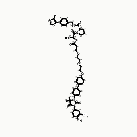 Cc1ncsc1-c1ccc(CNC(=O)[C@@H]2CCCN2C(=O)C(NC(=O)CCOCCOCCOc2ccc(-c3ccc(N4C(=S)N(c5ccc(C#N)c(C(F)(F)F)c5)C(=O)C4(C)C)cc3)cc2)C(C)(C)C)cc1